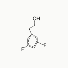 OCCc1cc(F)cc(F)c1